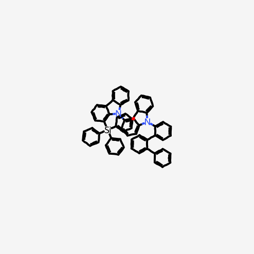 c1ccc(-c2ccccc2-c2ccccc2-n2c3ccccc3c3c(-n4c5ccccc5c5cccc([Si](c6ccccc6)(c6ccccc6)c6ccccc6)c54)cccc32)cc1